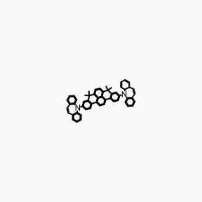 CC1(C)c2cc(N3c4ccccc4C=Cc4ccccc43)ccc2-c2ccc3c4c(ccc1c24)C(C)(C)c1cc(N2c4ccccc4C=CC4C=CC=CC42)ccc1-3